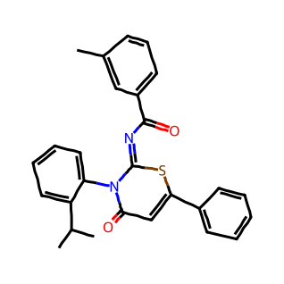 Cc1cccc(C(=O)/N=c2\sc(-c3ccccc3)cc(=O)n2-c2ccccc2C(C)C)c1